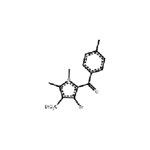 CCOC(=O)c1c(Br)c(C(=O)c2ccc(C)cc2)n(C)c1C